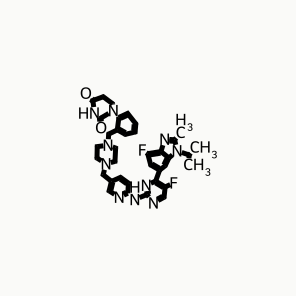 Cc1nc2c(F)cc(-c3nc(Nc4ccc(CN5CCN(Cc6ccccc6N6CCC(=O)NC6=O)CC5)cn4)ncc3F)cc2n1C(C)C